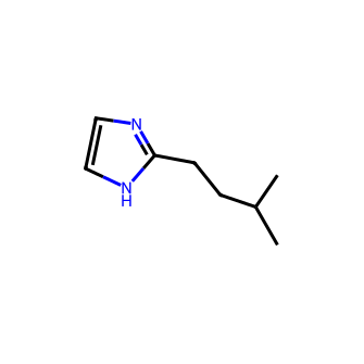 CC(C)CCc1ncc[nH]1